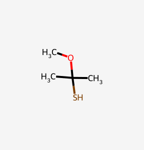 COC(C)(C)S